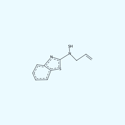 C=CCN(S)c1nc2ccccc2s1